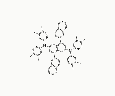 Cc1ccc(N(c2ccc(C)c(C)c2)c2cc(-c3ccc4ccccc4c3)c3cc(N(c4ccc(C)c(C)c4)c4ccc(C)c(C)c4)cc(-c4ccc5ccccc5c4)c3c2)cc1C